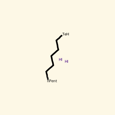 CCCCCCCCCC[TeH].I.I